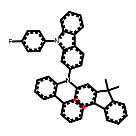 CC1(C)c2ccccc2-c2ccc(N(c3ccc4c5ccccc5n(-c5ccc(F)cc5)c4c3)c3ccccc3-c3ccccc3)cc21